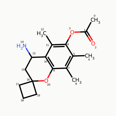 CC(=O)Oc1c(C)c(C)c2c(c1C)C(N)CC1(CCC1)O2